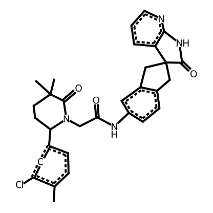 Cc1ccc(C2CCC(C)(C)C(=O)N2CC(=O)Nc2ccc3c(c2)CC2(C3)C(=O)Nc3ncccc32)cc1Cl